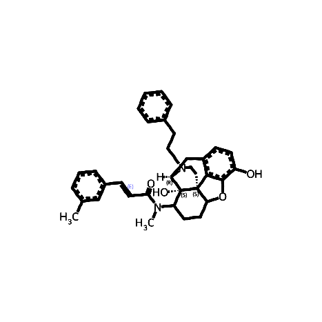 Cc1cccc(/C=C/C(=O)N(C)C2CCC3Oc4c(O)ccc5c4[C@@]34CCN(CCc3ccccc3)[C@H](C5)[C@]24O)c1